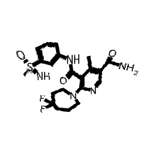 Cc1c(C(N)=O)cnc(N2CCCC(F)(F)CC2)c1C(=O)Nc1cccc([S@](C)(=N)=O)c1